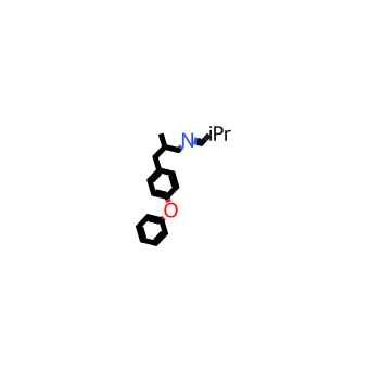 CC(C)C=NCC(C)Cc1ccc(Oc2ccccc2)cc1